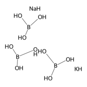 OB(O)O.OB(O)O.OB(O)O.[KH].[NaH]